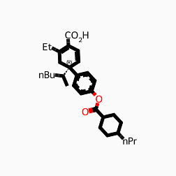 CCCCC(C)[C@@]1(c2ccc(OC(=O)C3CCC(CCC)CC3)cc2)C=CC(C(=O)O)=C(CC)C1